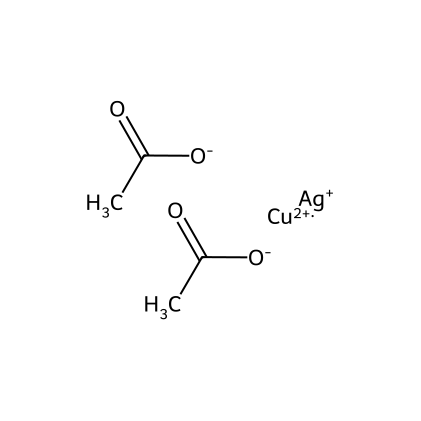 CC(=O)[O-].CC(=O)[O-].[Ag+].[Cu+2]